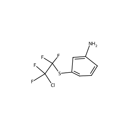 Nc1cccc(SC(F)(F)C(F)(F)Cl)c1